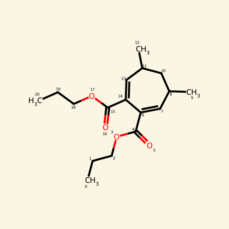 CCCOC(=O)C1=CC(C)CC(C)C=C1C(=O)OCCC